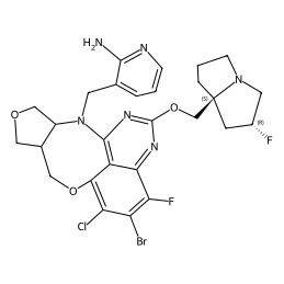 Nc1ncccc1CN1c2nc(OC[C@@]34CCCN3C[C@H](F)C4)nc3c(F)c(Br)c(Cl)c(c23)OCC2COCC21